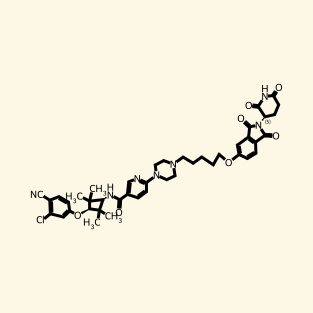 CC1(C)[C@H](NC(=O)c2ccc(N3CCN(CCCCCOc4ccc5c(c4)C(=O)N([C@H]4CCC(=O)NC4=O)C5=O)CC3)nc2)C(C)(C)[C@H]1Oc1ccc(C#N)c(Cl)c1